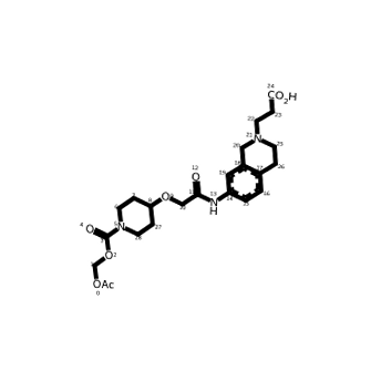 CC(=O)OCOC(=O)N1CCC(OCC(=O)Nc2ccc3c(c2)CN(CCC(=O)O)CC3)CC1